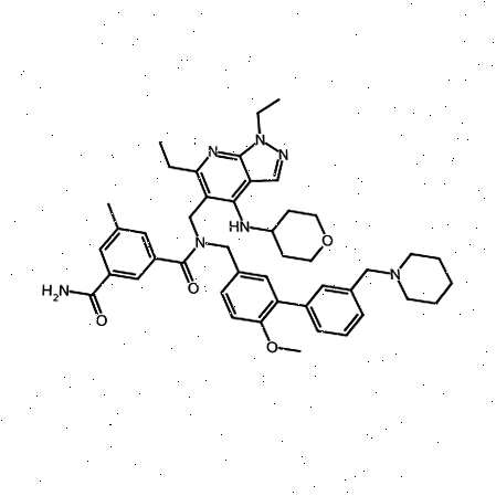 CCc1nc2c(cnn2CC)c(NC2CCOCC2)c1CN(Cc1ccc(OC)c(-c2cccc(CN3CCCCC3)c2)c1)C(=O)c1cc(C)cc(C(N)=O)c1